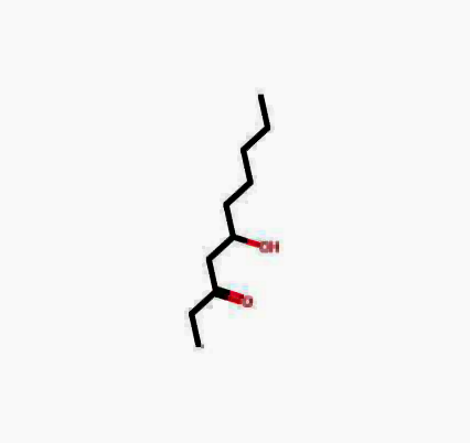 [CH2]CC(=O)CC(O)CCCCC